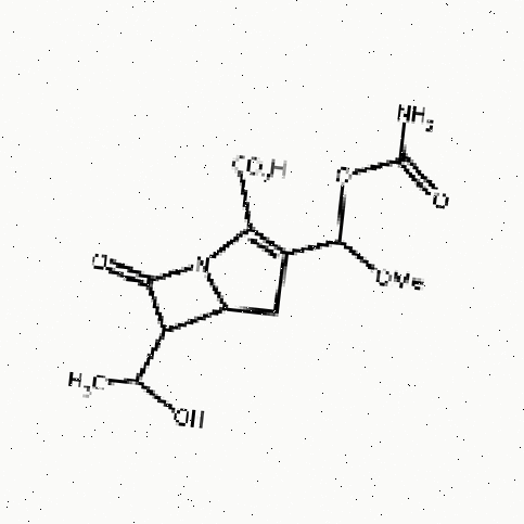 COC(OC(N)=O)C1=C(C(=O)O)N2C(=O)C(C(C)O)C2C1